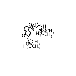 CC(C)(C)OC(=O)NC1CCN(S(=O)(=O)c2cccc3c(=O)n(COC(=O)C(C)(C)C)ccc23)C1